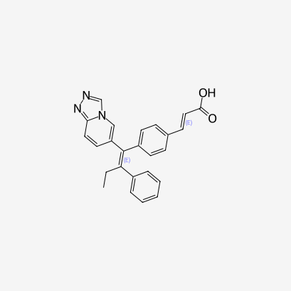 CC/C(=C(/c1ccc(/C=C/C(=O)O)cc1)c1ccc2nncn2c1)c1ccccc1